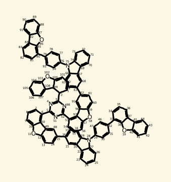 C1=CC(c2nc(-c3cccc4oc5ccc(-c6ccc7c(c6)c6ccccc6n7-c6ccc(-c7cccc8c7oc7ccccc78)cc6)cc5c34)nc(-c3cccc4oc5ccc(-c6ccc7c(c6)c6ccccc6n7-c6ccc(-c7cccc8c7oc7ccccc78)cc6)cc5c34)n2)C2C(=C1)Oc1ccccc12